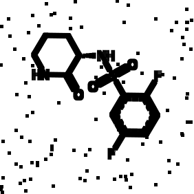 O=C1NCCC[C@@H]1NS(=O)(=O)c1cc(F)ccc1F